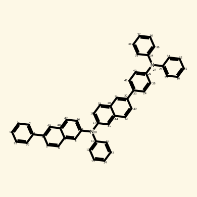 c1ccc(-c2ccc3cc(N(c4ccccc4)c4ccc5cc(-c6ccc(N(c7ccccc7)c7ccccc7)cc6)ccc5c4)ccc3c2)cc1